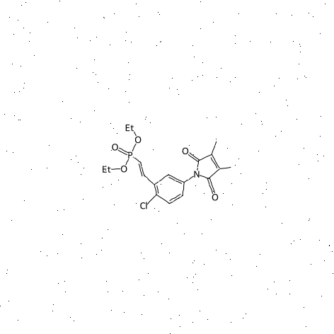 CCOP(=O)(C=Cc1cc(N2C(=O)C(C)=C(C)C2=O)ccc1Cl)OCC